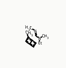 CCN(C)C=NC.Cc1cc2ccc1-2